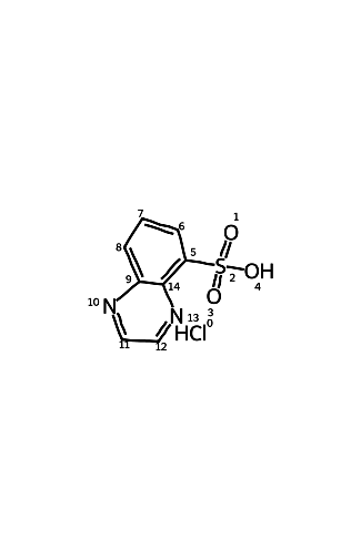 Cl.O=S(=O)(O)c1cccc2nccnc12